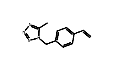 C=Cc1ccc(Cn2nnnc2C)cc1